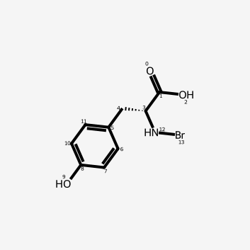 O=C(O)[C@@H](Cc1ccc(O)cc1)NBr